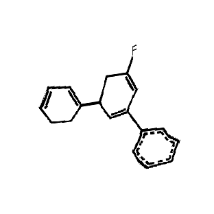 FC1=CC(c2ccccc2)=CC(C2=CC=CCC2)C1